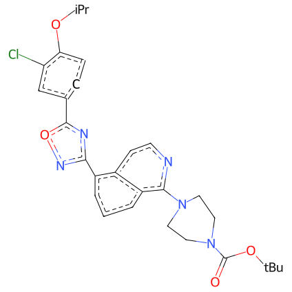 CC(C)Oc1ccc(-c2nc(-c3cccc4c(N5CCN(C(=O)OC(C)(C)C)CC5)nccc34)no2)cc1Cl